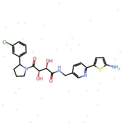 Nc1ccc(-c2ccc(CNC(=O)[C@H](O)[C@@H](O)C(=O)N3CCCC3c3cccc(Cl)c3)cn2)s1